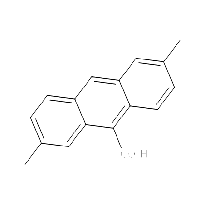 Cc1ccc2c(C(=O)O)c3cc(C)ccc3cc2c1